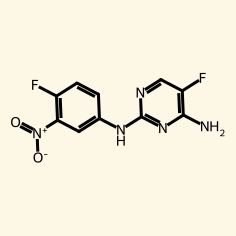 Nc1nc(Nc2ccc(F)c([N+](=O)[O-])c2)ncc1F